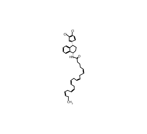 CC/C=C\C/C=C\C/C=C\C/C=C\C/C=C\CCCC(=O)N[C@H]1CC[C@@H](c2ccc(Cl)c(Cl)c2)c2ccccc21